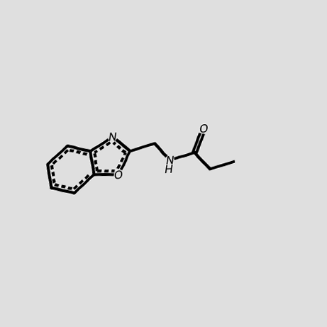 CCC(=O)NCc1nc2ccccc2o1